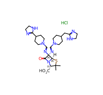 CC1(C)S[C@H]2N(C(=O)[C@@]2(N=CN2CCC(CC3=NCCN3)CC2)N=CN2CCC(C3=NCCN3)CC2)[C@H]1C(=O)O.Cl